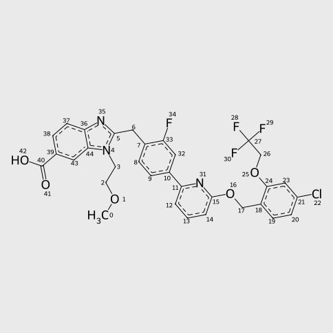 COCCn1c(Cc2ccc(-c3cccc(OCc4ccc(Cl)cc4OCC(F)(F)F)n3)cc2F)nc2ccc(C(=O)O)cc21